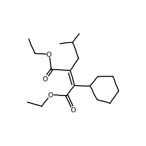 CCOC(=O)/C(CC(C)C)=C(\C(=O)OCC)C1CCCCC1